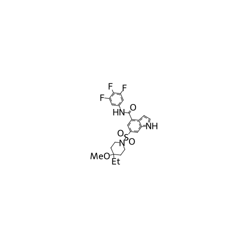 CCC1(OC)CCN(S(=O)(=O)c2cc(C(=O)Nc3cc(F)c(F)c(F)c3)c3cc[nH]c3c2)CC1